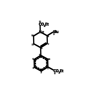 CCOC(=O)c1cccc(C2=CC(C(C)(C)C)N(C(=O)OCC)CC2)c1